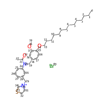 CCCCCCCCCCCCCCOc1ccc(CN(C(C)=O)c2cccc(C[n+]3ccsc3)c2)cc1OC.[Br-]